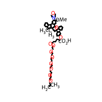 C=C(C)COCCOCCOCCOCCOCCOCCOC(=O)CCCC(Oc1ccc(C2(c3ccccc3)C=Cc3c4c(c5cc(N6CCOCC6)c(OC)cc5c3O2)-c2ccccc2C4(C)C)cc1)C(=O)O